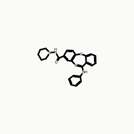 O=C(NN1CCCCC1)c1ccc2c(c1)N=C(Nc1ccccc1)c1ccccc1S2